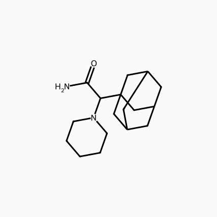 NC(=O)C(N1CCCCC1)C12CC3CC(CC(C3)C1)C2